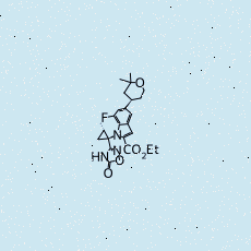 CCOC(=O)c1cc2cc([C@@H]3CCOC(C)(C)C3)cc(F)c2n1[C@@]1(c2noc(=O)[nH]2)C[C@@H]1C